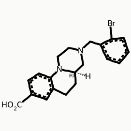 O=C(O)c1ccc2c(c1)CC[C@@H]1CN(Cc3ccccc3Br)CCN21